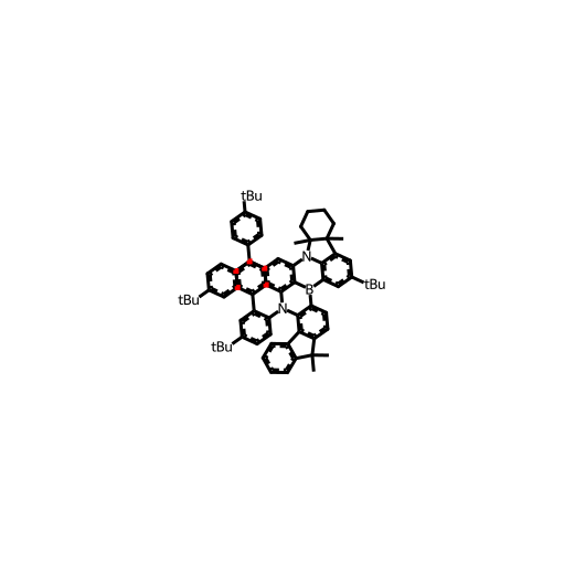 CC(C)(C)c1ccc(C(c2ccc(C(C)(C)C)cc2)c2cc3c4c(c2)N2c5c(cc(C(C)(C)C)cc5C5(C)CCCCC25C)B4c2ccc4c(c2N3c2ccc(C(C)(C)C)cc2-c2ccccc2)-c2ccccc2C4(C)C)cc1